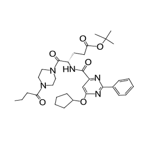 CCCC(=O)N1CCN(C(=O)[C@H](CCC(=O)OC(C)(C)C)NC(=O)c2cc(OC3CCCC3)nc(-c3ccccc3)n2)CC1